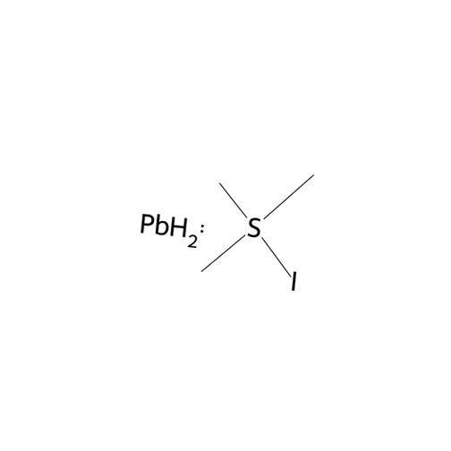 CS(C)(C)I.[PbH2]